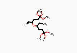 C=CC(CCC(OC)(OC)OC)OC(C=C)CCC(OC)(OC)OC